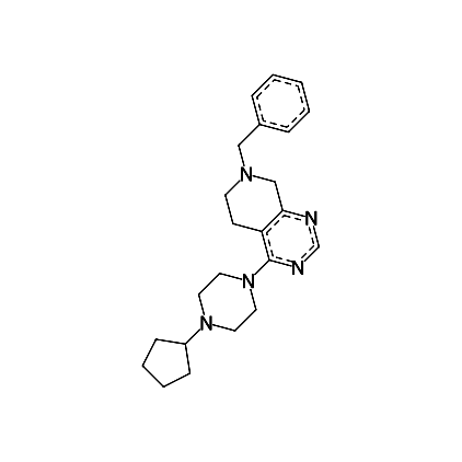 c1ccc(CN2CCc3c(ncnc3N3CCN(C4CCCC4)CC3)C2)cc1